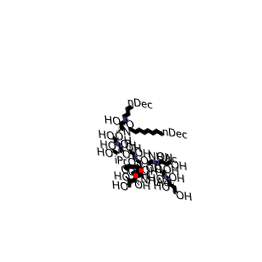 CCCCCCCCCCCCC/C=C/[C@H](O)[C@@H](CO[C@H](O)/C(O)=C(\O)[C@@H](CCO)O[C@H](O)/C(O)=C(\O[C@]1(C(=O)C(C)C)CC(O)[C@@H](NC(C)=O)C([C@H](O)[C@H](O)CO)O1)[C@H](CCO)O[C@H](O)/C(NC(C)=O)=C(\O[C@H](O)/C(O)=C(\O)[C@@H](O)CCO)[C@@H](O)CCO)NC(=O)CCCCCCCCCCCCCCCCC